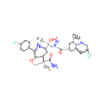 COc1cc(C(=O)NCC(O)(c2cc3c(c(-c4ccc(F)cc4)n2)OC[C@]3(C)C(N)=O)C(F)(F)F)cc2cc(F)cnc12